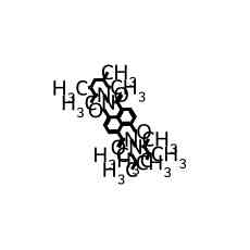 CC(C)C(C)N(C(C)C(C)C)N1C(=O)c2ccc3c4c(ccc(c24)C1=O)C(=O)N(N1C(C)C(C)CC(C)C1C)C3=O